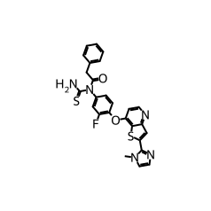 Cn1ccnc1-c1cc2nccc(Oc3ccc(N(C(=O)Cc4ccccc4)C(N)=S)cc3F)c2s1